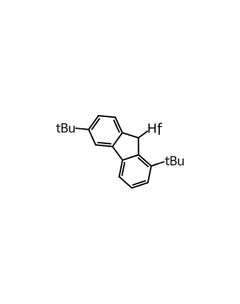 CC(C)(C)c1ccc2c(c1)-c1cccc(C(C)(C)C)c1[CH]2[Hf]